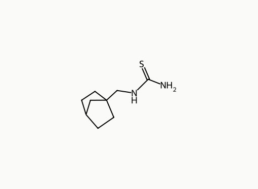 NC(=S)NCC12CCC(CC1)C2